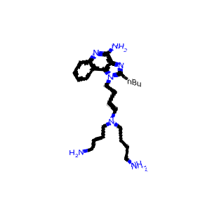 CCCCc1nc2c(N)nc3ccccc3c2n1CCCCN(CCCCN)CCCCN